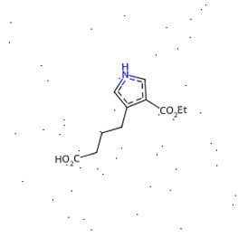 CCOC(=O)c1c[nH]cc1CCCC(=O)O